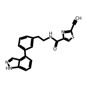 C#Cc1nc(C(=O)NCCc2cccc(-c3cccc4[nH]ncc34)c2)cs1